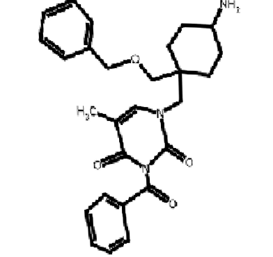 Cc1cn(CC2(COCc3ccccc3)CCC(N)CC2)c(=O)n(C(=O)c2ccccc2)c1=O